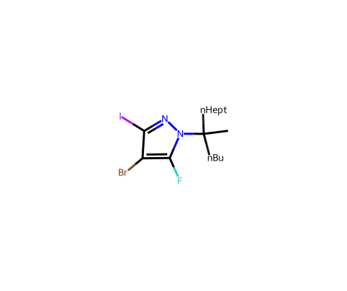 CCCCCCCC(C)(CCCC)n1nc(I)c(Br)c1F